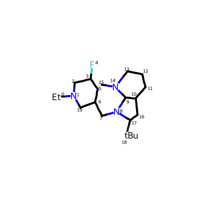 CCN1CC(F)CC(CN2C3C(CCCN3C)CC2C(C)(C)C)C1